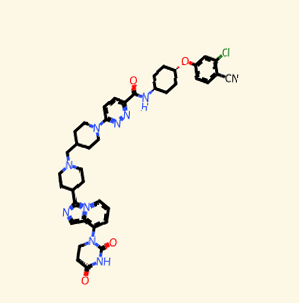 N#Cc1ccc(O[C@H]2CC[C@H](NC(=O)c3ccc(N4CCC(CN5CCC(c6ncc7c(N8CCC(=O)NC8=O)cccn67)CC5)CC4)nn3)CC2)cc1Cl